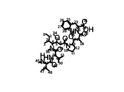 CCC(C)C(C(CC(=O)N1CCCC1C(OC)C(C)C(=O)NC(Cc1ccccc1)C(=O)O)OC)N(C)C(=O)[C@@H](NC(=O)C(NC)C(C)C)C(C)C